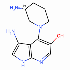 Nc1c[nH]c2ncc(O)c(N3CCC[C@@H](N)C3)c12